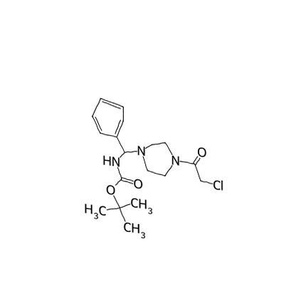 CC(C)(C)OC(=O)NC(c1ccccc1)N1CCN(C(=O)CCl)CC1